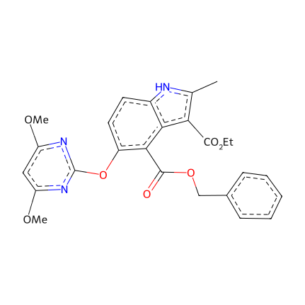 CCOC(=O)c1c(C)[nH]c2ccc(Oc3nc(OC)cc(OC)n3)c(C(=O)OCc3ccccc3)c12